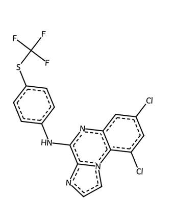 FC(F)(F)Sc1ccc(Nc2nc3cc(Cl)cc(Cl)c3n3ccnc23)cc1